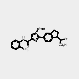 CCCCCn1cc(C(=O)Nc2ccccc2C)nc1-c1ccc2c(c1)CCC2C(CC)C(=O)O